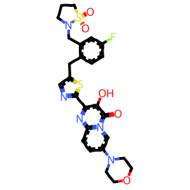 O=c1c(O)c(-c2ncc(Cc3ccc(F)cc3CN3CCCS3(=O)=O)s2)nc2ccc(N3CCOCC3)cn12